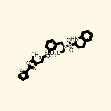 CCOC(=O)CN(Cc1cccc(OCCc2nc(-c3cccs3)oc2C)c1)S(=O)(=O)C1CCc2ccccc2N1